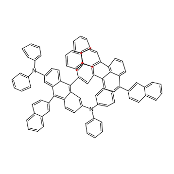 c1ccc(-c2cc(-c3c4ccc(N(c5ccccc5)c5ccccc5)cc4c(-c4ccc5ccccc5c4)c4ccc(N(c5ccccc5)c5ccccc5)cc34)cc(-c3ccc(-c4ccc5ccccc5c4)c4cccc(-c5ccc6ccccc6c5)c34)c2)cc1